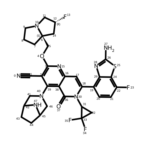 N#Cc1c(OC[C@@]23CCCN2C[C@H](F)C3)nc2cc(-c3ccc(F)c4sc(N)nc34)n(C3CC3(F)F)c(=O)c2c1N1CC2CCC(C1)N2